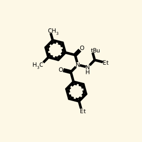 CCc1ccc(C(=O)N(NC(CC)C(C)(C)C)C(=O)c2cc(C)cc(C)c2)cc1